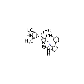 Cc1c(C(=O)N2C[C@@H](C)N[C@@H](C)C2)c[nH]c1/C=C1\C(=O)Nc2cccc(-c3cccc(CCO)c3)c21